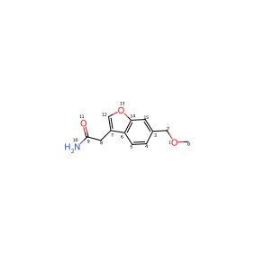 COCc1ccc2c(CC(N)=O)coc2c1